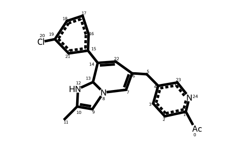 CC(=O)c1ccc(CC2=CN3C=C(C)NC3C(c3cccc(Cl)c3)=C2)cn1